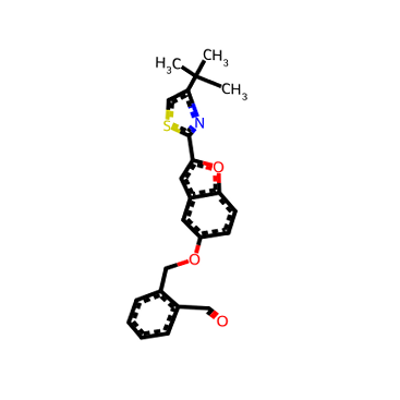 CC(C)(C)c1csc(-c2cc3cc(OCc4ccccc4C=O)ccc3o2)n1